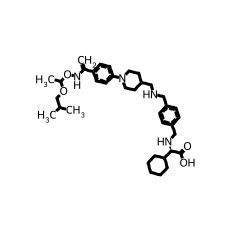 C=C(NOC(C)OCC(C)C)c1ccc(N2CCC(CNCc3ccc(CN[C@H](C(=O)O)C4CCCCC4)cc3)CC2)cc1